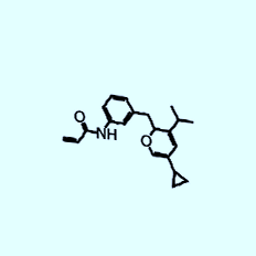 C=CC(=O)Nc1cccc(CC2OC=C(C3CC3)C=C2C(C)C)c1